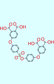 O=C(O)c1ccc(Oc2ccc(OS(=O)(=O)c3ccc(Oc4ccc(C(=O)O)c(C(=O)O)c4)cc3)cc2)cc1C(=O)O